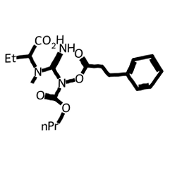 CCCOC(=O)N(OC(=O)CCc1ccccc1)C(=N)N(C)C(CC)C(=O)O